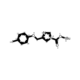 CC(C)(C)OC(=O)n1cnc(COc2ccc(I)cc2)c1